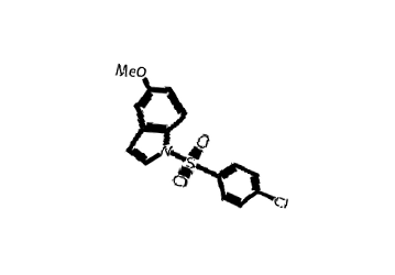 COc1ccc2c(ccn2S(=O)(=O)c2ccc(Cl)cc2)c1